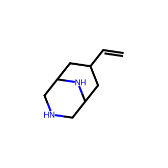 C=CC1CC2CNCC(C1)N2